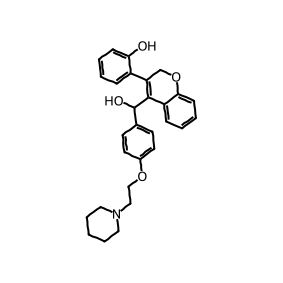 Oc1ccccc1C1=C(C(O)c2ccc(OCCN3CCCCC3)cc2)c2ccccc2OC1